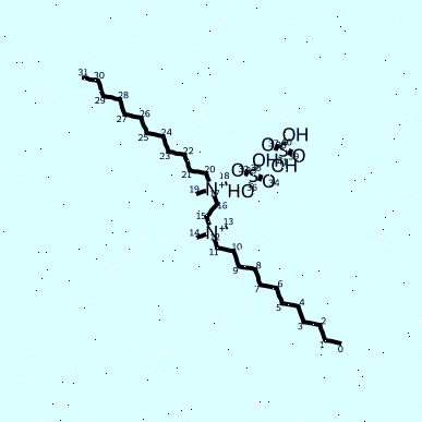 CCCCCCCCCCCC[N+](C)(C)CC[N+](C)(C)CCCCCCCCCCCC.O=S(=O)(O)O.O=S(=O)(O)O